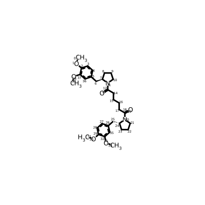 COc1ccc(C[C@H]2CCCN2C(=O)CCCCC(=O)N2CCC[C@@H]2Cc2ccc(OC)c(OC)c2)cc1OC